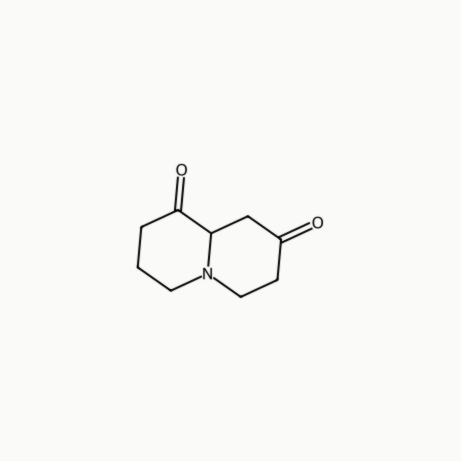 O=C1CCN2CCCC(=O)C2C1